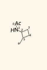 CC(=O)NC1CCC1C